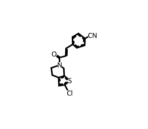 N#Cc1ccc(/C=C/C(=O)N2CCc3cc(Cl)sc3C2)cc1